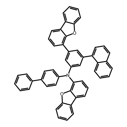 c1ccc(-c2ccc(N(c3cc(-c4cccc5ccccc45)cc(-c4cccc5c4oc4ccccc45)c3)c3cccc4c3oc3ccccc34)cc2)cc1